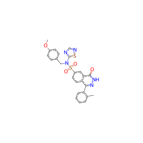 COc1ccc(CN(c2ncns2)S(=O)(=O)c2ccc3c(-c4ccccc4C)n[nH]c(=O)c3c2)cc1